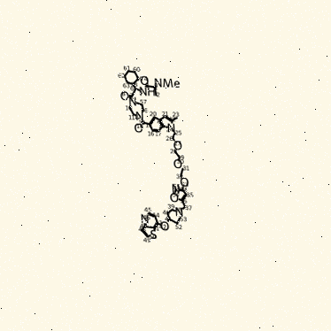 CN[C@@H](C)C(=O)NC(C(=O)N1CCN(C(=O)c2ccc3c(c2)cc(C)n3CCOCCOCCOc2cc(CN3CCC(Oc4ccnc5ccsc45)CC3)on2)CC1)C1CCCCC1